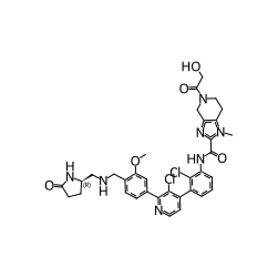 COc1cc(-c2nccc(-c3cccc(NC(=O)c4nc5c(n4C)CCN(C(=O)CO)C5)c3Cl)c2Cl)ccc1CNC[C@H]1CCC(=O)N1